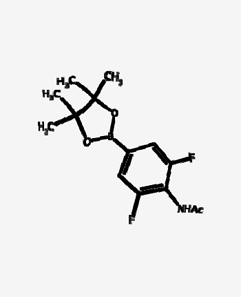 CC(=O)Nc1c(F)cc(B2OC(C)(C)C(C)(C)O2)cc1F